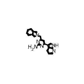 Nc1nc(Cn2cc3ccccc3c2)cc(-c2c[nH]c3ncccc23)n1